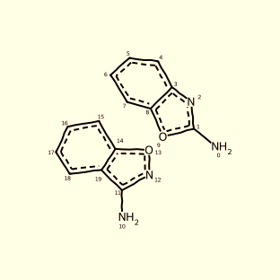 Nc1nc2ccccc2o1.Nc1noc2ccccc12